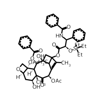 CC[Si](CC)(CC)O[C@@H](C(=O)OC12C[C@@]3(O)[C@@H](OC(=O)c4ccccc4)[C@@H]4[C@]5(OC(C)=O)CO[C@@H]5C[C@H](O)[C@@]4(C)C(=O)[C@H](OC(C)=O)C(=C1C)[C@@]23C)C(NC(=O)c1ccccc1)c1ccccc1